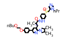 CCCCOCCOc1ccc(-c2cnc(N3CC(C)[C@H](C)C3)c(/C=C(\C)C(=O)Nc3ccc([S+]([O-])Cc4cncn4CCC)cc3)c2)cc1